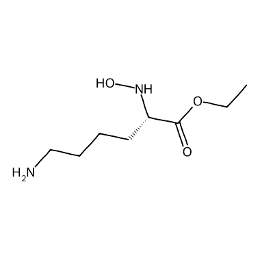 CCOC(=O)[C@H](CCCCN)NO